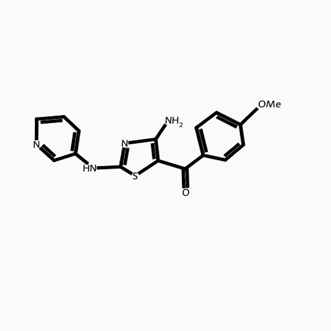 COc1ccc(C(=O)c2sc(Nc3cccnc3)nc2N)cc1